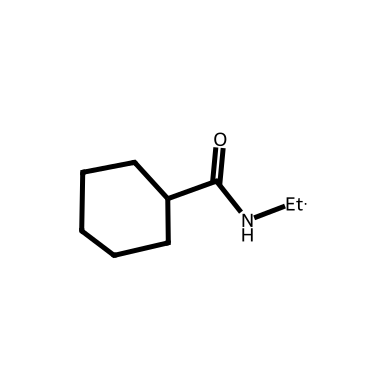 C[CH]NC(=O)C1CCCCC1